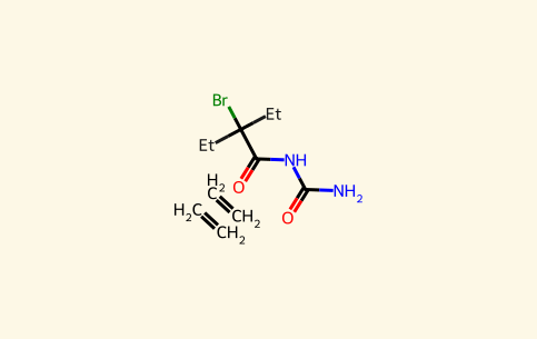 C=C.C=C.CCC(Br)(CC)C(=O)NC(N)=O